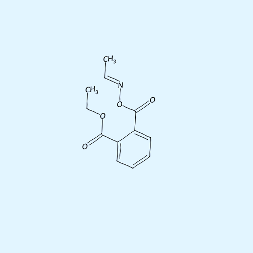 CC=NOC(=O)c1ccccc1C(=O)OCC